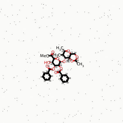 COC(=O)C1O[C@@H](O[C@@H]2C(C)[C@H](C)OC3COC(C)O[C@@H]32)C(OC(=O)c2ccccc2)[C@@H](OC(=O)c2ccccc2)[C@@H]1O